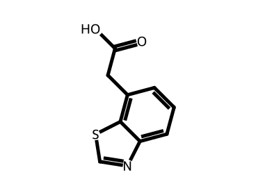 O=C(O)Cc1cccc2ncsc12